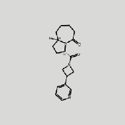 O=C([C@@H]1CC[C@@H]2CCCCC(=O)N21)N1CC(c2cccnc2)C1